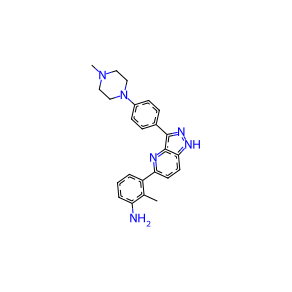 Cc1c(N)cccc1-c1ccc2[nH]nc(-c3ccc(N4CCN(C)CC4)cc3)c2n1